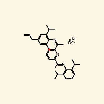 C=CCc1cc(C(C)C)c(N=C(C)c2cccc(C(C)=Nc3c(C(C)C)cccc3C(C)C)n2)c(C(C)C)c1.[Br-].[Br-].[Fe+2]